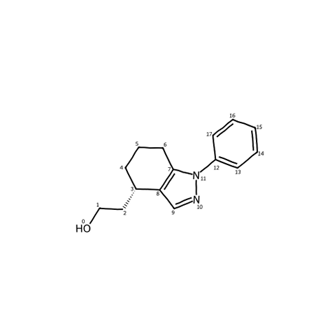 OCC[C@@H]1CCCc2c1cnn2-c1ccccc1